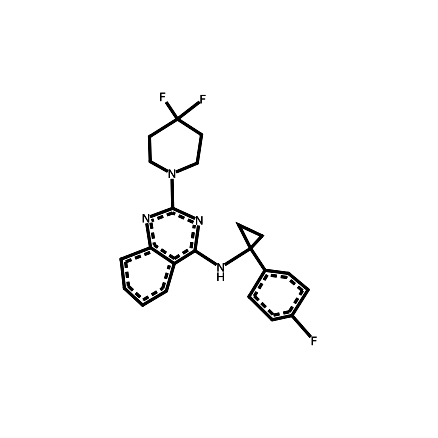 Fc1ccc(C2(Nc3nc(N4CCC(F)(F)CC4)nc4ccccc34)CC2)cc1